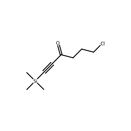 C[Si](C)(C)C#CC(=O)CCCCl